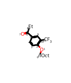 CCCCCCCCOc1ccc(C(=O)CC)cc1C(F)(F)F